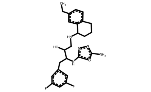 CCc1ccc2c(c1)C(NCC(O)C(Cc1cc(F)cc(F)c1)Nc1nnc(N)o1)CCC2